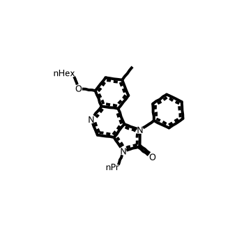 CCCCCCOc1cc(C)cc2c1ncc1c2n(-c2ccccc2)c(=O)n1CCC